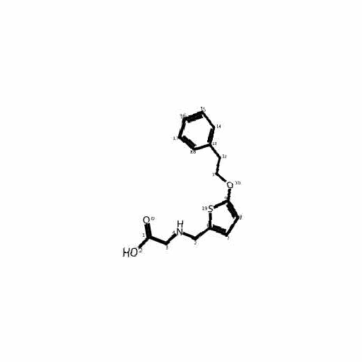 O=C(O)CNCc1ccc(OCCc2ccccc2)s1